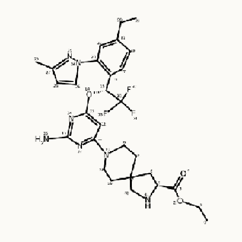 CCOC(=O)[C@@H]1CC2(CCN(c3cc(O[C@H](c4ccc(CC)cc4-n4ccc(C)n4)C(F)(F)F)nc(N)n3)CC2)CN1